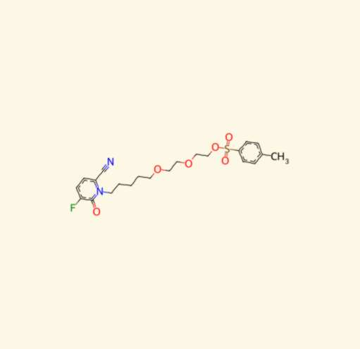 Cc1ccc(S(=O)(=O)OCCOCCOCCCCCn2c(C#N)ccc(F)c2=O)cc1